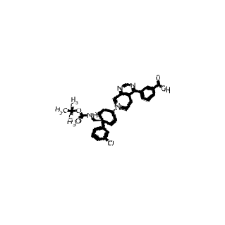 CC(C)(C)OC(=O)NC[C@]1(c2cccc(Cl)c2)CC[C@@H](N2CCc3c(ncnc3-c3cccc(C(=O)O)c3)C2)CC1